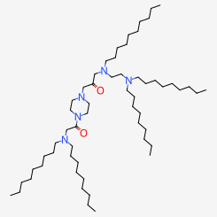 CCCCCCCCCCN(CCN(CCCCCCCCC)CCCCCCCCC)CC(=O)CN1CCN(C(=O)CN(CCCCCCCCC)CCCCCCCCC)CC1